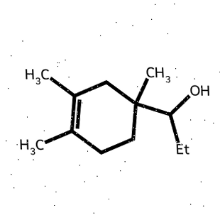 CCC(O)C1(C)CCC(C)=C(C)C1